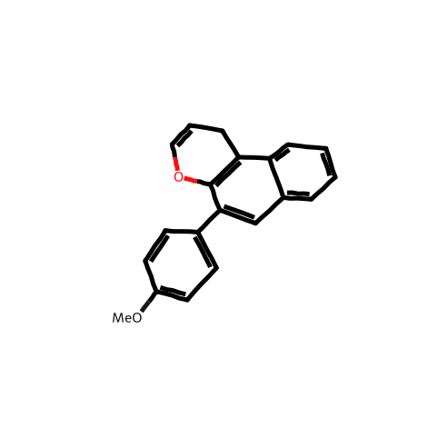 COc1ccc(-c2cc3ccccc3c3c2OC=CC3)cc1